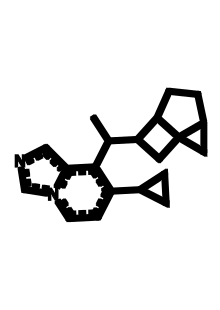 CC(c1c(C2CC2)ccn2cncc12)C1CC23CC2CCC13